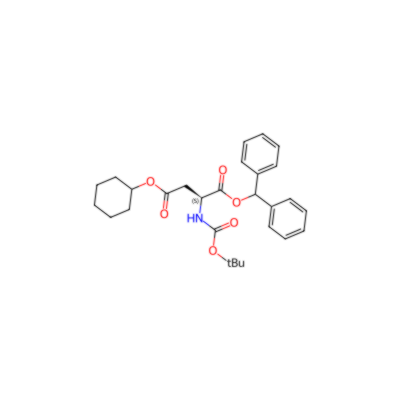 CC(C)(C)OC(=O)N[C@@H](CC(=O)OC1CCCCC1)C(=O)OC(c1ccccc1)c1ccccc1